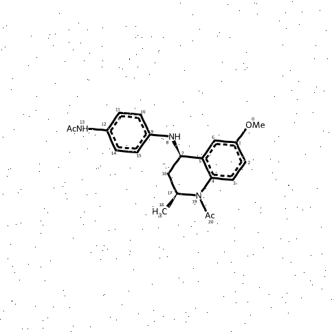 COc1ccc2c(c1)[C@H](Nc1ccc(NC(C)=O)cc1)C[C@H](C)N2C(C)=O